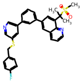 CC(C)(c1cc(-c2cccc(-c3cncc(SCc4ccc(F)cc4)c3)c2)cc2cccnc12)S(C)(=O)=O